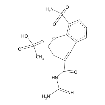 CS(=O)(=O)O.N=C(N)NC(=O)C1=Cc2cccc(S(N)(=O)=O)c2OCC1